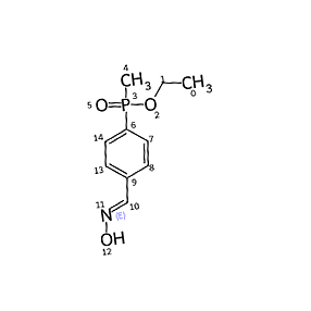 CCOP(C)(=O)c1ccc(/C=N/O)cc1